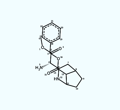 COC(=O)[C@@H](N)C1CC2CCC(N1)C2C(=O)OCc1ccccc1